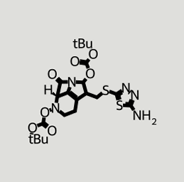 CC(C)(C)OC(=O)OC1C(CSc2nnc(N)s2)C2=C3[C@@H](C(=O)N31)N(OC(=O)OC(C)(C)C)CC2